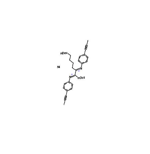 CC#Cc1ccc(/N=C(CCCCCCCC)/C(CCCCCCCCCCCCCC)=N/c2ccc(C#CC)cc2)cc1.[Ni]